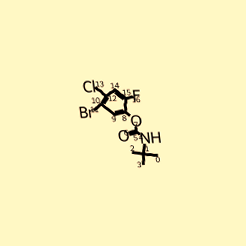 CC(C)(C)NC(=O)Oc1cc(Br)c(Cl)cc1F